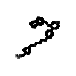 CCc1ccc(COCCCOc2ccc(C3CCNCC3OCc3ccc4ccccc4c3)cc2)cc1